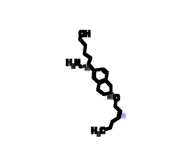 CCC/C=C\CO[C@@H]1CCc2cc([C@H](CN)CCCCO)ccc2C1